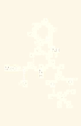 COC(=O)C1Cc2c([nH]c3ccccc23)C(CC2OCC(C)(C)CO2)N1